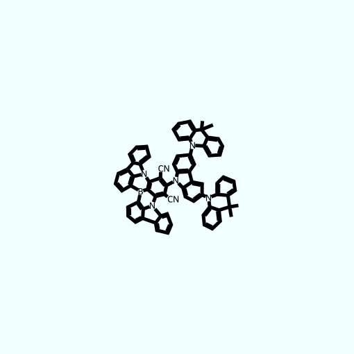 CC1(C)c2ccccc2N(c2ccc3c(c2)c2cc(N4c5ccccc5C(C)(C)c5ccccc54)ccc2n3-c2c(C#N)c3c4c(c2C#N)-n2c5ccccc5c5cccc(c52)B4c2cccc4c5ccccc5n-3c24)c2ccccc21